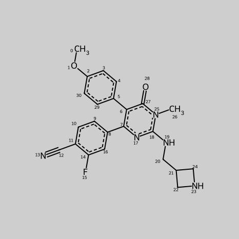 COc1ccc(-c2c(-c3ccc(C#N)c(F)c3)nc(NCC3CNC3)n(C)c2=O)cc1